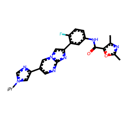 Cc1nc(C)c(C(=O)Nc2ccc(F)c(-c3cn4cc(-c5cn(C(C)C)cn5)cnc4n3)c2)o1